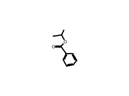 CC(C)OC(=O)c1[c]cccc1